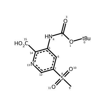 CC(C)(C)OC(=O)Nc1cc(S(C)(=O)=O)cnc1C(=O)O